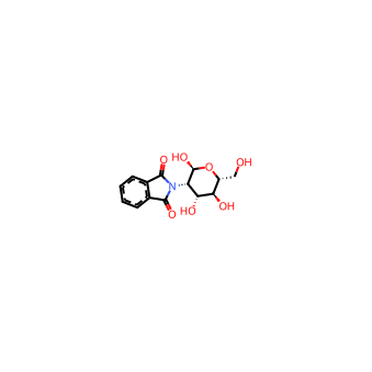 O=C1c2ccccc2C(=O)N1[C@H]1[C@@H](O)[C@H](O)[C@@H](CO)O[C@@H]1O